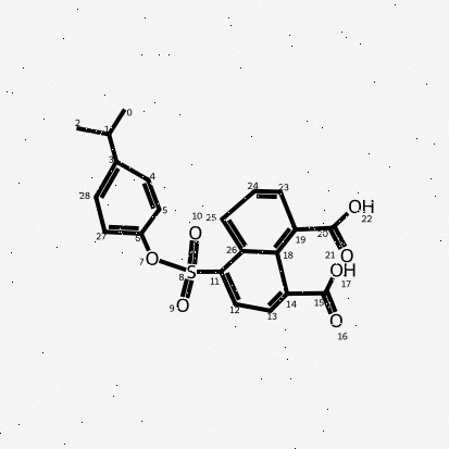 CC(C)c1ccc(OS(=O)(=O)c2ccc(C(=O)O)c3c(C(=O)O)cccc23)cc1